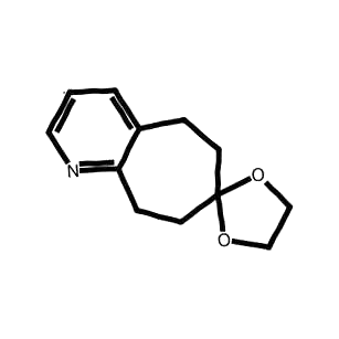 [c]1cnc2c(c1)CCC1(CC2)OCCO1